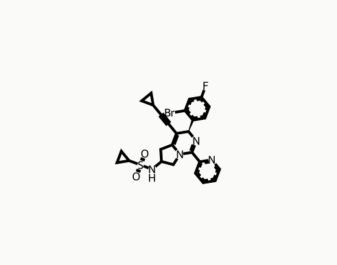 O=S(=O)(NC1CC2=C(C#CC3CC3)[C@@H](c3ccc(F)cc3Br)N=C(c3ccccn3)N2C1)C1CC1